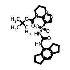 CC(C)(C)OC(=O)N1CCCn2ncc(S(=O)(=O)NC(=O)Nc3c4c(cc5c3CCC5)CCC4)c21